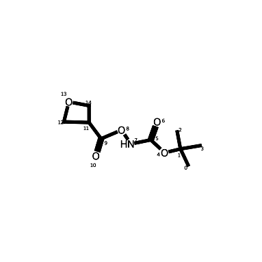 CC(C)(C)OC(=O)NOC(=O)C1COC1